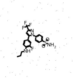 CCCNc1ccc(-c2cc(C(F)(F)F)nn2-c2ccc(S(N)(=O)=O)cc2)cc1F